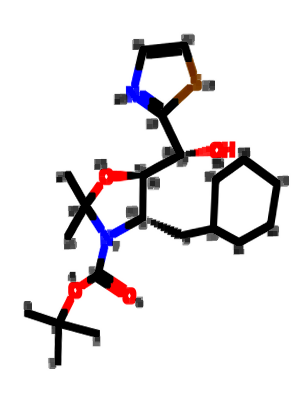 CC(C)(C)OC(=O)N1[C@@H](CC2CCCCC2)[C@H]([C@@H](O)c2nccs2)OC1(C)C